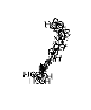 CCc1c2c(nc3ccc(OC(=O)NCCOCc4cn([C@H]5O[C@@H](CO)[C@H](O)[C@@H](O)[C@@H]5O)nn4)cc13)-c1cc3c(c(=O)n1C2)COC(=O)[C@]3(O)CC